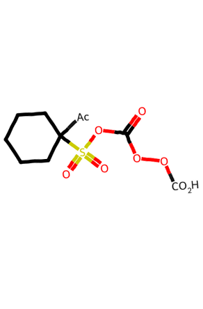 CC(=O)C1(S(=O)(=O)OC(=O)OOC(=O)O)CCCCC1